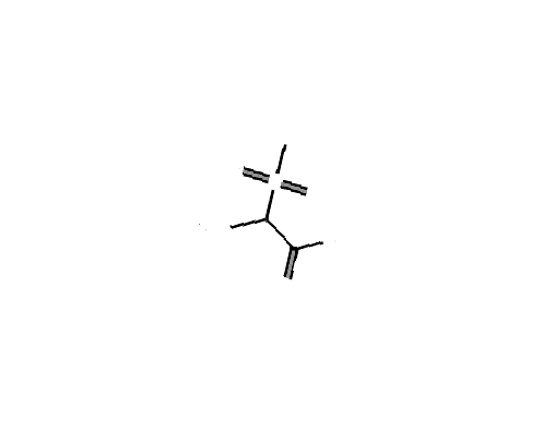 CC(C(=O)[O-])S(C)(=O)=O.[Na+]